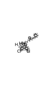 CC(NC(=O)CCCCC(=O)CCCc1ccccc1)C(Cc1ccc(Cl)cc1)c1ccc(Cl)cc1